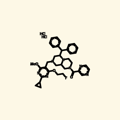 COc1nc(C2CC2)nc(OCCF)c1CN1CC2CN(C(=O)c3cnccn3)CCN2C(C(c2ccccc2)c2ccccc2)C1.Cl.Cl